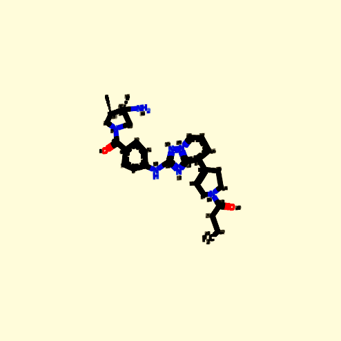 C[C@H]1CN(C(=O)c2ccc(Nc3nc4c(C5=CCN(C(=O)CCC(F)(F)F)CC5)cccn4n3)cc2)C[C@]1(C)N